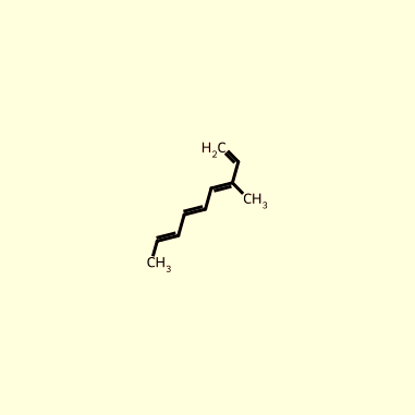 C=CC(C)=CC=CC=CC